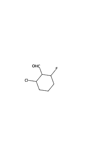 O=CC1C(F)CCCC1Cl